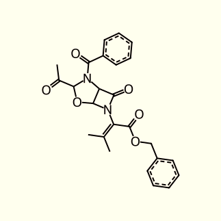 CC(=O)C1OC2C(C(=O)N2C(C(=O)OCc2ccccc2)=C(C)C)N1C(=O)c1ccccc1